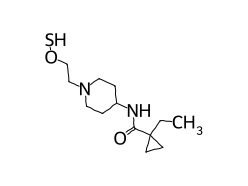 CCC1(C(=O)NC2CCN(CCOS)CC2)CC1